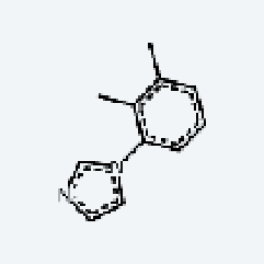 Cc1cccc(-n2[c]cnc2)c1C